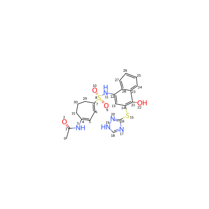 CC(=O)NC1=CC=C(S(=O)(=O)Nc2cc(Sc3nc[nH]n3)c(O)c3ccccc23)CCC1